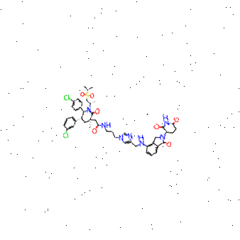 CC(C)S(=O)(=O)C[C@H](C)N1C(=O)[C@@](C)(CC(=O)NCCCn2cnc(CNc3cccc4c3CN(C3CCC(=O)NC3=O)C4=O)c2)C[C@H](c2cccc(Cl)c2)[C@H]1c1ccc(Cl)cc1